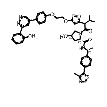 Cc1ncsc1-c1ccc([C@H](C)NC(=O)[C@@H]2C[C@@H](O)CN2C(=O)C(c2cc(OCCOc3ccc(-c4cnnc(-c5ccccc5O)c4)cc3)no2)C(C)C)cc1